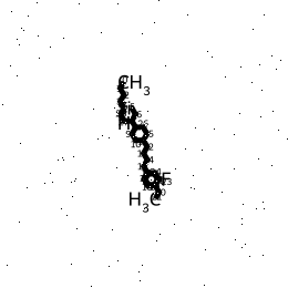 CCCC[SiH]1CCC(C2CCC(CCCCc3ccc(CC)c(F)c3)CC2)CC1